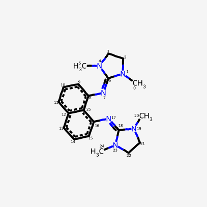 CN1CCN(C)C1=Nc1cccc2cccc(N=C3N(C)CCN3C)c12